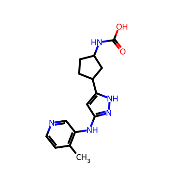 Cc1ccncc1Nc1cc(C2CCC(NC(=O)O)C2)[nH]n1